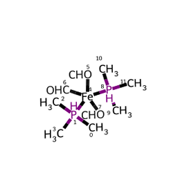 C[PH](C)(C)[Fe]([CH]=O)([CH]=O)([CH]=O)[PH](C)(C)C